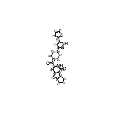 O=C(c1nc2sc3c(c2c(=O)[nH]1)CCC3)N1CCC(c2cc(-c3cccs3)[nH]n2)CC1